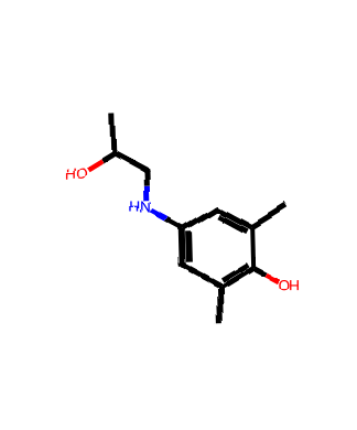 Cc1cc(NCC(C)O)cc(C)c1O